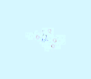 CCOc1nn(CC2(OC3CCCCO3)CC2)c(C=O)c1I